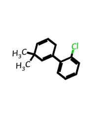 CC1(C)C=CCC(c2ccccc2Cl)=C1